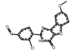 COc1ccc2oc3c(=O)[nH]c(-c4ccc(N=O)cc4Cl)nc3c2c1